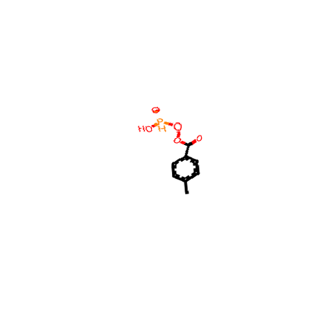 Cc1ccc(C(=O)OO[PH](=O)O)cc1